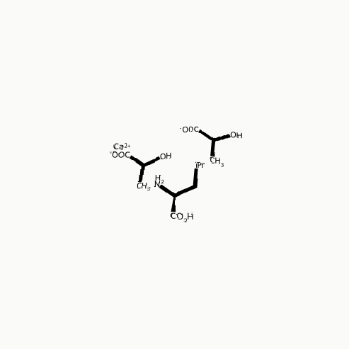 CC(C)C[C@H](N)C(=O)O.CC(O)C(=O)[O-].CC(O)C(=O)[O-].[Ca+2]